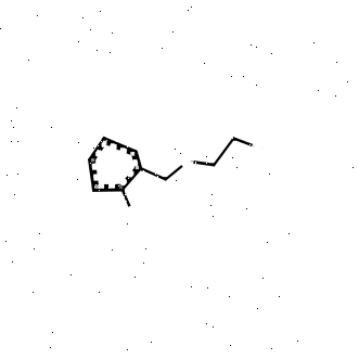 [CH2]c1ccccc1COCCO